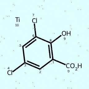 O=C(O)c1cc(Cl)cc(Cl)c1O.[Ti]